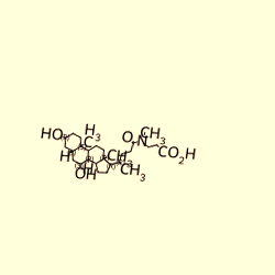 C[C@H](CCC(=O)N(C)CCC(=O)O)[C@H]1CCC2[C@H]3C(CC[C@@]21C)[C@@]1(C)CC[C@@H](O)C[C@H]1C[C@@H]3O